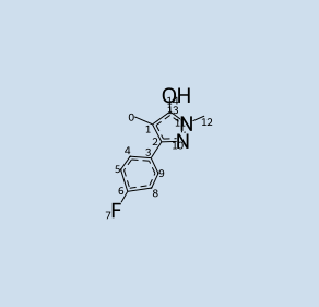 Cc1c(-c2ccc(F)cc2)nn(C)c1O